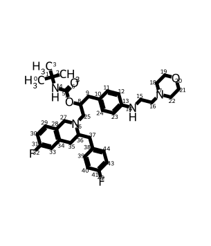 CC(C)(C)NC(=O)OC(Cc1ccc(NCCN2CCOCC2)cc1)CN1Cc2ccc(F)cc2CC1Cc1ccc(F)cc1